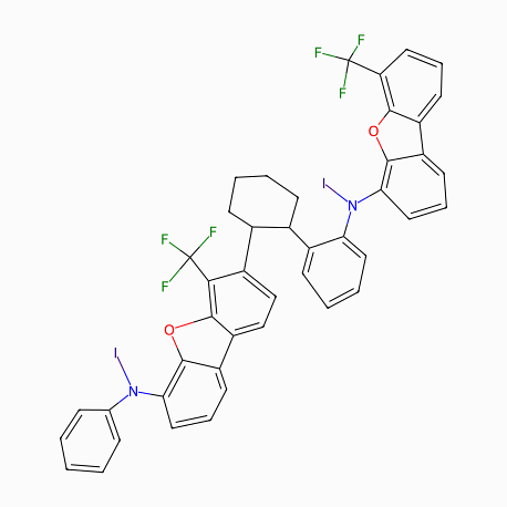 FC(F)(F)c1cccc2c1oc1c(N(I)c3ccccc3C3CCCCC3c3ccc4c(oc5c(N(I)c6ccccc6)cccc54)c3C(F)(F)F)cccc12